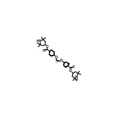 CC1(C)CC(OC(=O)c2ccc(O/C=C\Oc3ccc(C(=O)OC4CC(C)(C)NC(C)(C)C4)cc3)cc2)CC(C)(C)N1